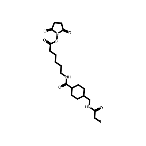 O=C(CI)NCC1CCC(C(=O)NCCCCCC(=O)ON2C(=O)CCC2=O)CC1